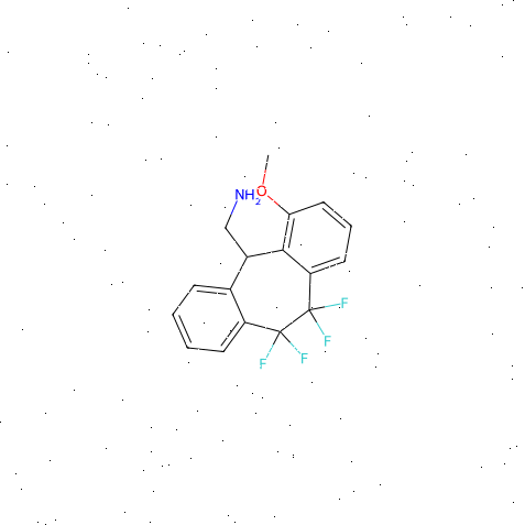 COc1cccc2c1C(CN)c1ccccc1C(F)(F)C2(F)F